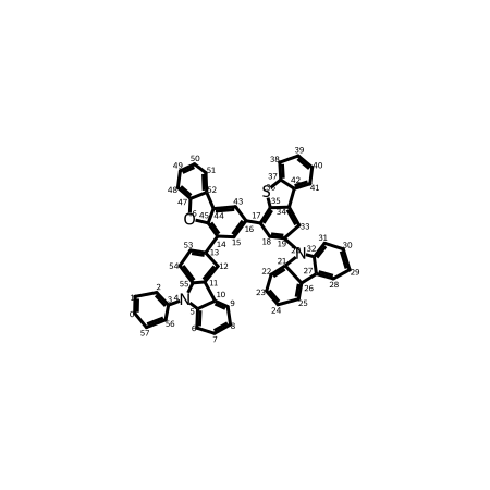 c1ccc(-n2c3ccccc3c3cc(-c4cc(-c5cc(-n6c7ccccc7c7ccccc76)cc6c5sc5ccccc56)cc5c4oc4ccccc45)ccc32)cc1